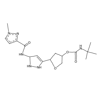 Cn1ccc(C(=O)NC2C=C(C3CC(OC(=O)NC(C)(C)C)CO3)NN2)n1